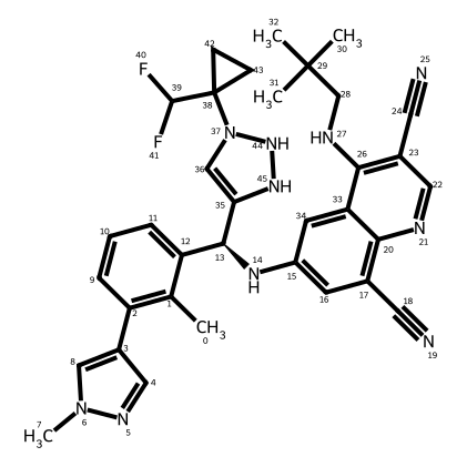 Cc1c(-c2cnn(C)c2)cccc1[C@H](Nc1cc(C#N)c2ncc(C#N)c(NCC(C)(C)C)c2c1)C1=CN(C2(C(F)F)CC2)NN1